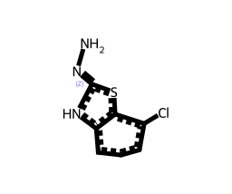 N/N=c1/[nH]c2cccc(Cl)c2s1